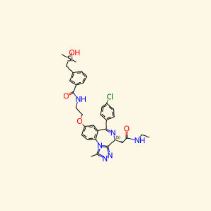 CCNC(=O)C[C@@H]1N=C(c2ccc(Cl)cc2)c2cc(OCCNC(=O)c3cccc(C[Si](C)(C)O)c3)ccc2-n2c(C)nnc21